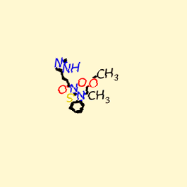 CCOC(=O)C(C)n1/c(=N/C(=O)/C=C/c2cnc[nH]2)sc2ccccc21